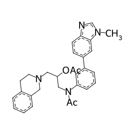 CC(=O)OC(CN1CCc2ccccc2C1)CN(C(C)=O)c1cccc(-c2ccc3ncn(C)c3c2)c1